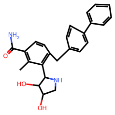 Cc1c(C(N)=O)ccc(Cc2ccc(-c3ccccc3)cc2)c1C1NCC(O)C1O